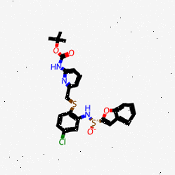 CC(C)(C)OC(=O)Nc1cccc(CSc2ccc(Cl)cc2N[S+]([O-])c2cc3ccccc3o2)n1